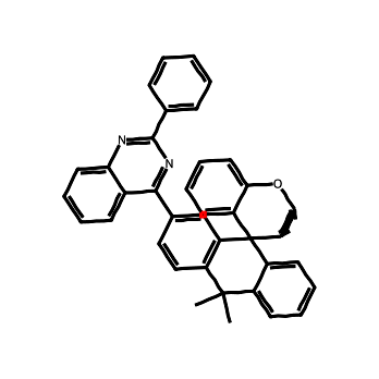 CC1(C)c2ccccc2C2(c3ccccc3Oc3ccccc32)c2cc(-c3nc(-c4ccccc4)nc4ccccc34)ccc21